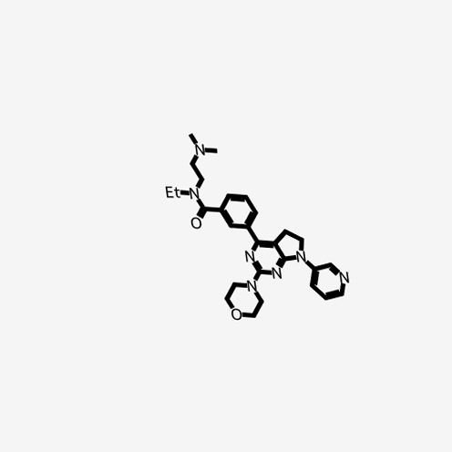 CCN(CCN(C)C)C(=O)c1cccc(-c2nc(N3CCOCC3)nc3c2CCN3c2cccnc2)c1